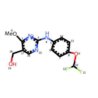 COc1nc(Nc2ccc(OC(F)F)cc2)ncc1CO